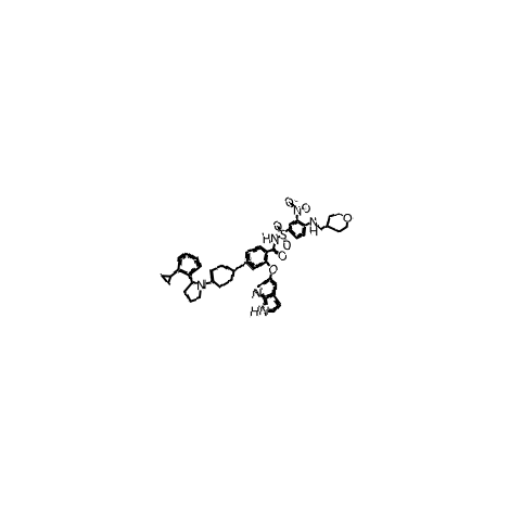 O=C(NS(=O)(=O)c1ccc(NCC2CCOCC2)c([N+](=O)[O-])c1)c1ccc(C2CCC(N3CCCC3c3ccccc3C3CC3)CC2)cc1Oc1cnc2[nH]ccc2c1